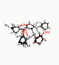 Oc1ccccc1C(c1ccccc1)c1cccc(C(c2ccccc2)c2ccccc2O)c1C(c1ccccc1)c1ccccc1O